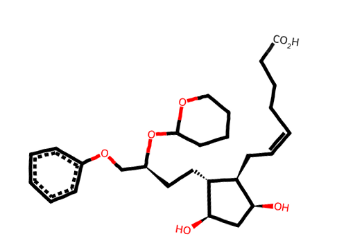 O=C(O)CCC/C=C\C[C@@H]1[C@@H](CC[C@@H](COc2ccccc2)OC2CCCCO2)[C@H](O)C[C@@H]1O